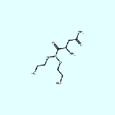 NC(=O)CC(N)C(=O)N(OCCO)OCCO